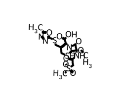 CO[C@@]1(NC(=O)CS(C)(=O)=O)C(=O)N2C(C(=O)O)=C(CSc3nnc(C)o3)CS[C@@H]21